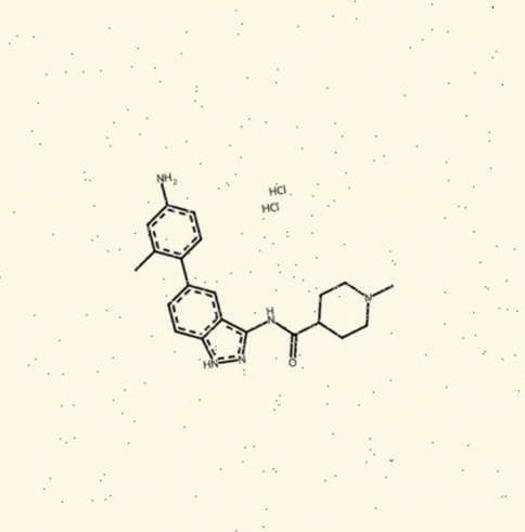 Cc1cc(N)ccc1-c1ccc2[nH]nc(NC(=O)C3CCN(C)CC3)c2c1.Cl.Cl